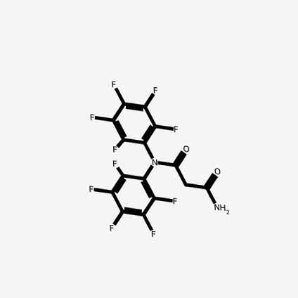 NC(=O)CC(=O)N(c1c(F)c(F)c(F)c(F)c1F)c1c(F)c(F)c(F)c(F)c1F